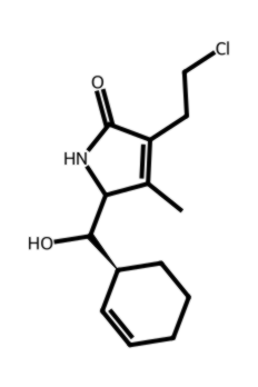 CC1=C(CCCl)C(=O)NC1C(O)[C@@H]1C=CCCC1